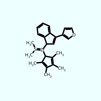 CC1=C(C)[CH]([Zr]([CH]2C=C(c3ccoc3)c3ccccc32)=[Si](C)C)C(C)=C1C